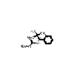 COC(C)(C)[C@@H](NC(=O)OC(C)(C)C)c1ccccc1